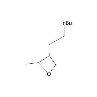 CCCCCCC1COC1C